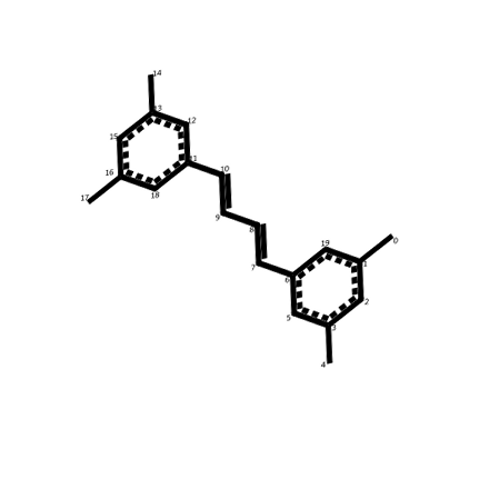 Cc1cc(C)cc(C=CC=Cc2cc(C)cc(C)c2)c1